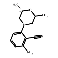 CC1CN(c2cccc(N)c2C#N)C[C@H](C)O1